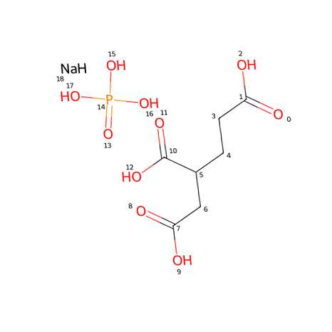 O=C(O)CCC(CC(=O)O)C(=O)O.O=P(O)(O)O.[NaH]